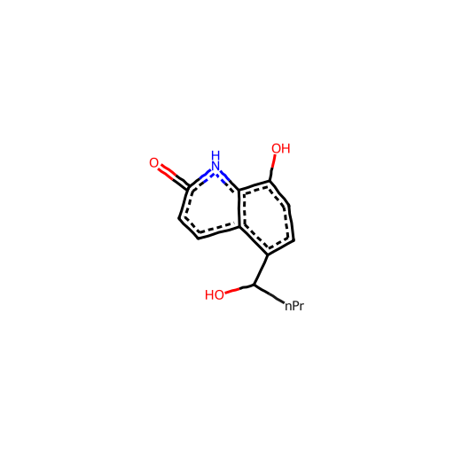 CCCC(O)c1ccc(O)c2[nH]c(=O)ccc12